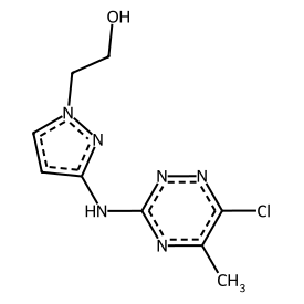 Cc1nc(Nc2ccn(CCO)n2)nnc1Cl